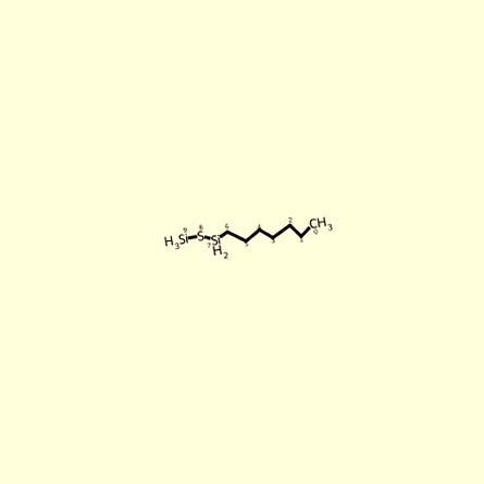 CCCCCCC[SiH2]S[SiH3]